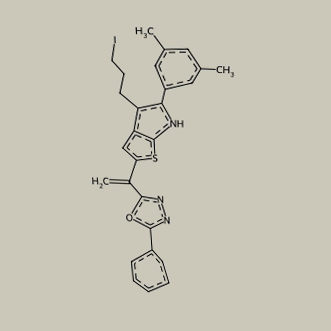 C=C(c1nnc(-c2ccccc2)o1)c1cc2c(CCCI)c(-c3cc(C)cc(C)c3)[nH]c2s1